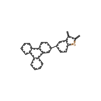 C=c1sc2ccc(-c3ccc4c5ccccc5c5ccccc5c4c3)cc2c1=C